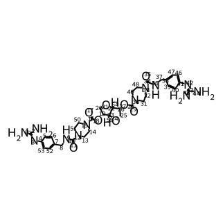 NC(N)=Nc1ccc(CNC(=O)N2CCN(C(=O)O[C@@H]3CO[C@H]4[C@@H]3OC[C@H]4OC(=O)N3CCN(C(=O)NCc4ccc(N=C(N)N)cc4)CC3)CC2)cc1